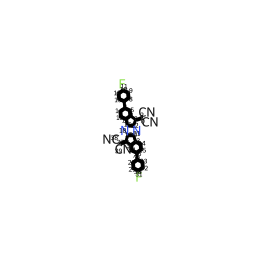 N#CC(C#N)=C1c2cc(-c3ccc(F)cc3)ccc2-c2nc3c(nc21)-c1ccc(-c2ccc(F)cc2)cc1C3=C(C#N)C#N